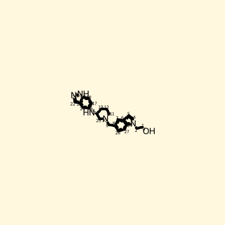 OCCn1ccc2cc(CN3CCC[C@@H](Nc4ccc5[nH]ncc5c4)C3)ccc21